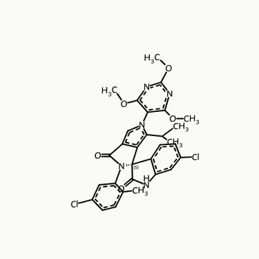 COc1nc(OC)c(-n2cc3c(c2C(C)C)[C@@]2(C(=O)Nc4cc(Cl)ccc42)N(c2cc(Cl)ccc2C)C3=O)c(OC)n1